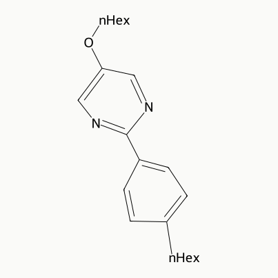 CCCCCCOc1cnc(-c2ccc(CCCCCC)cc2)nc1